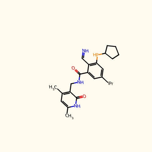 Cc1cc(C)c(CNC(=O)c2cc(C(C)C)cc(PC3CCCC3)c2C=N)c(=O)[nH]1